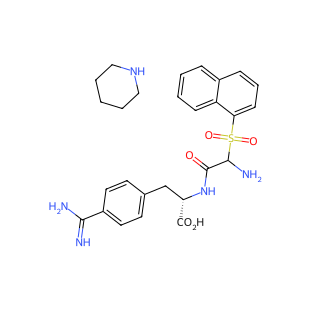 C1CCNCC1.N=C(N)c1ccc(C[C@H](NC(=O)C(N)S(=O)(=O)c2cccc3ccccc23)C(=O)O)cc1